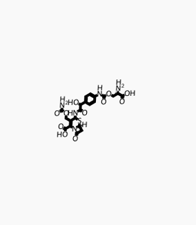 NC(=O)OCC1=C(C(=O)O)N2C(=O)C[C@@H]2SC1NC(=O)C(O)c1ccc(NC(=O)OC[C@@H](N)C(=O)O)cc1